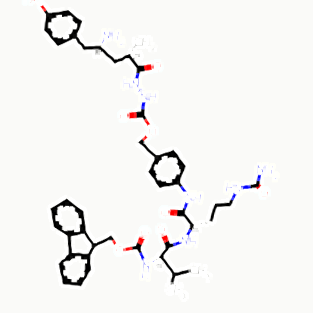 CC(C)[C@H](NC(=O)OCC1c2ccccc2-c2ccccc21)C(=O)N[C@@H](CCCNC(N)=O)C(=O)Nc1ccc(COC(=O)NNC(=O)[C@@H](C)C[C@@H](N)Cc2ccc(O)cc2)cc1